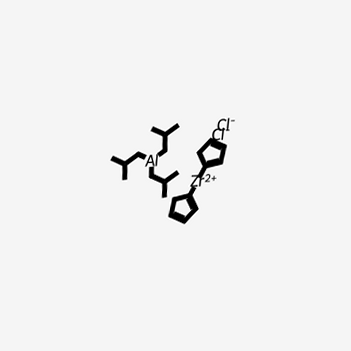 C1=CC[C]([Zr+2][C]2=CC=CC2)=C1.CC(C)[CH2][Al]([CH2]C(C)C)[CH2]C(C)C.[Cl-].[Cl-]